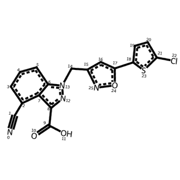 N#Cc1cccc2c1c(C(=O)O)nn2Cc1cc(-c2ccc(Cl)s2)on1